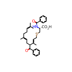 CC(C)=CCC/C(C)=C/CC(C(=O)c1ccccc1)/C(C)=C/CSC[C@H](NC(=O)c1ccccc1)C(=O)O